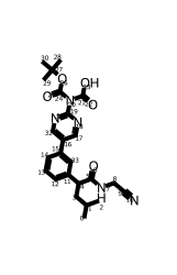 CC(C)CC(C(=O)NCC#N)c1cccc(-c2cnc(N(C(=O)O)C(=O)OC(C)(C)C)nc2)c1